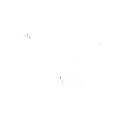 Cc1[nH]c(=O)c2cc(F)ccc2c1C1CCNCC1